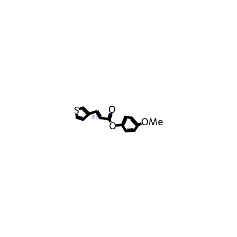 COc1ccc(OC(=O)/C=C/c2ccsc2)cc1